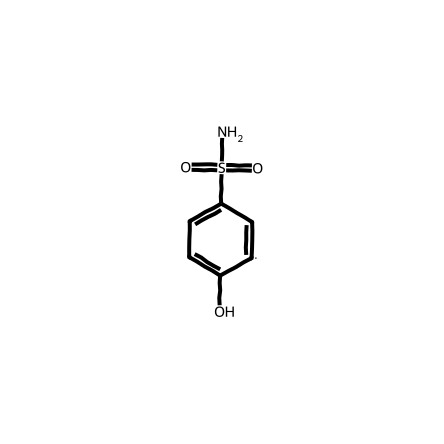 NS(=O)(=O)c1c[c]c(O)cc1